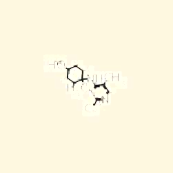 Cc1cnc(Cl)nc1NC1(C)CCC(O)CC1